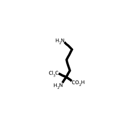 NCCCC(N)(C(=O)O)C(Cl)(Cl)Cl